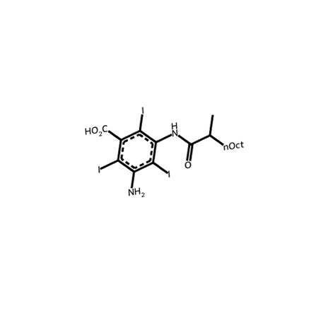 CCCCCCCCC(C)C(=O)Nc1c(I)c(N)c(I)c(C(=O)O)c1I